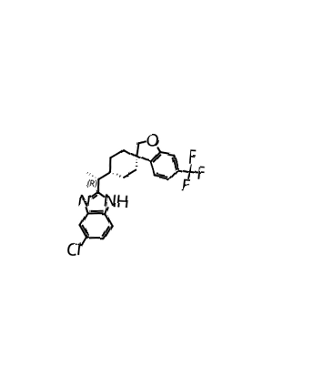 C[C@@H](c1nc2cc(Cl)ccc2[nH]1)[C@H]1CC[C@]2(CC1)COc1cc(C(F)(F)F)ccc12